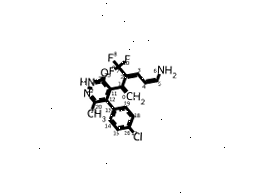 C=C(/C(=C\C=C/N)C(F)(F)F)c1c(-c2ccc(Cl)cc2)c(C)n[nH]c1=O